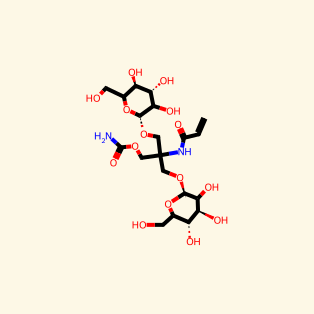 C=CC(=O)NC(COC(N)=O)(CO[C@@H]1OC(CO)[C@@H](O)[C@H](O)C1O)CO[C@@H]1OC(CO)[C@@H](O)[C@H](O)C1O